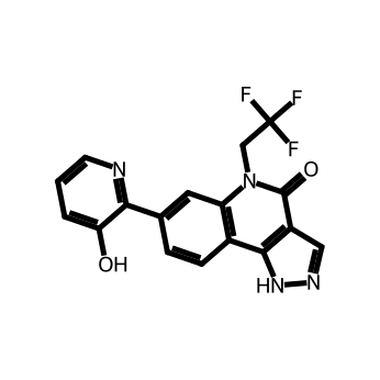 O=c1c2cn[nH]c2c2ccc(-c3ncccc3O)cc2n1CC(F)(F)F